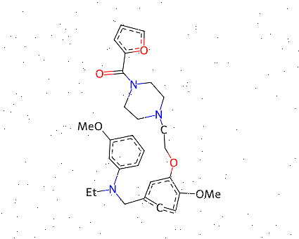 CCN(Cc1ccc(OC)c(OCCN2CCN(C(=O)c3ccco3)CC2)c1)c1cccc(OC)c1